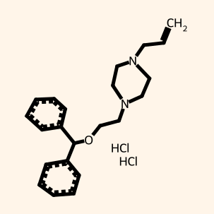 C=CCN1CCN(CCOC(c2ccccc2)c2ccccc2)CC1.Cl.Cl